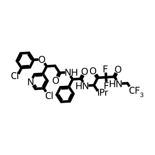 CC(C)C(NC(=O)C(NC(=O)CC(Oc1cccc(Cl)c1)c1cncc(Cl)c1)c1ccccc1)C(=O)C(F)(F)C(=O)NCC(F)(F)F